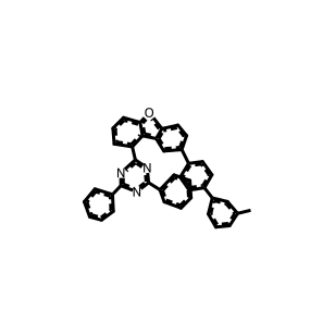 Cc1cccc(-c2ccc(-c3ccc4oc5cccc(-c6nc(-c7ccccc7)nc(-c7ccccc7)n6)c5c4c3)cc2)c1